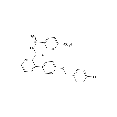 C[C@H](NC(=O)c1ccccc1-c1ccc(OCc2ccc(Cl)cc2)cc1)c1ccc(C(=O)O)cc1